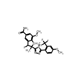 COc1ccc(-c2nnc(C3(C)Oc4c(OC)cc(C(N)=O)cc4C3F)n2C)c(C(F)(F)F)c1